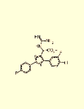 N=C(N)NC(C(=O)O)c1sc(-c2ccc(F)cc2)nc1-c1ccc(Cl)c(F)c1